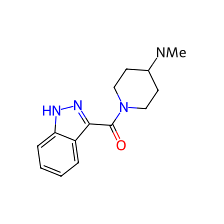 CNC1CCN(C(=O)c2n[nH]c3ccccc23)CC1